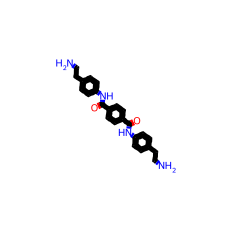 NCCc1ccc(NC(=O)c2ccc(C(=O)Nc3ccc(CCN)cc3)cc2)cc1